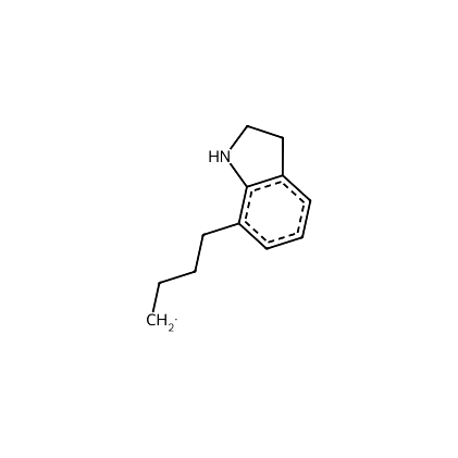 [CH2]CCCc1cccc2c1NCC2